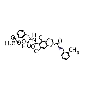 Cc1ccccc1/C=C/C(=O)N1CCc2c(cc(Cl)c(C(=O)N[C@@H](Cc3cccc(S(C)(=O)=O)c3)C(=O)O)c2Cl)C1